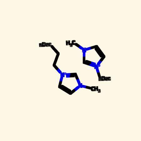 CCCCCCCCCCCC[n+]1ccn(C)c1.CCCCCCCCCC[n+]1ccn(C)c1